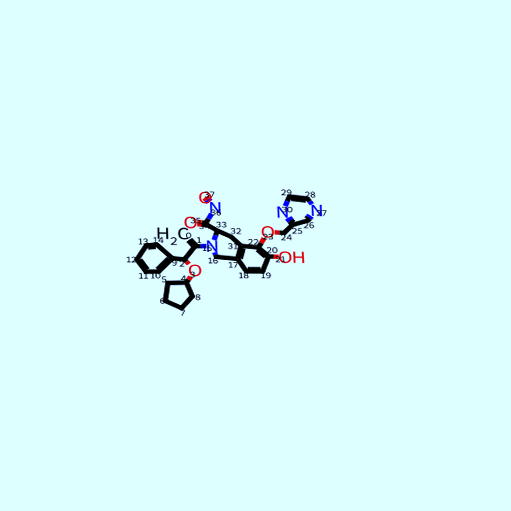 C=C(C(OC1CCCC1)c1ccccc1)N1Cc2ccc(O)c(OCc3cnccn3)c2CC1C(=O)N=O